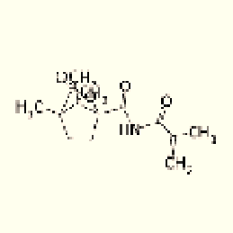 C=C(C)C(=O)NC(=O)C12CCC(C)(C(=O)O1)C2(C)C